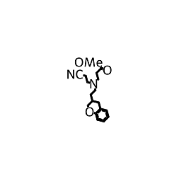 COC(=O)CCN(CCC#N)CCC1COc2ccccc2C1